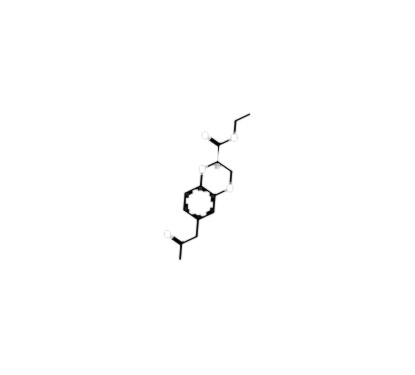 CCOC(=O)[C@H]1COc2cc(CC(C)=O)ccc2O1